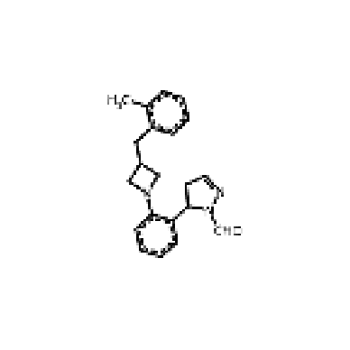 Cc1ccccc1CC1CN(c2ccccc2C2CC=NN2C=O)C1